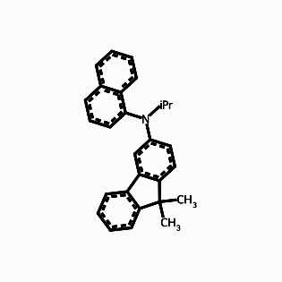 CC(C)N(c1ccc2c(c1)-c1ccccc1C2(C)C)c1cccc2ccccc12